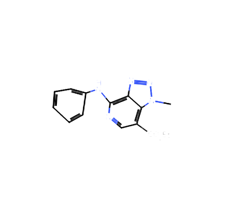 CCOC(=O)c1cnc(Nc2ccccc2)c2nnn(C)c12